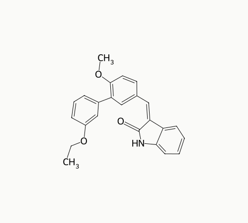 CCOc1cccc(-c2cc(C=C3C(=O)Nc4ccccc43)ccc2OC)c1